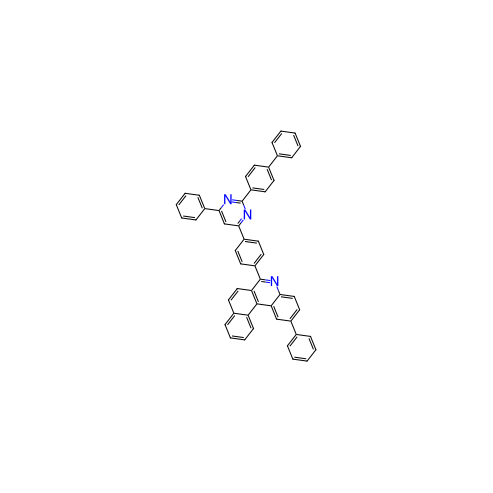 c1ccc(-c2ccc(-c3nc(-c4ccccc4)cc(-c4ccc(-c5nc6ccc(-c7ccccc7)cc6c6c5ccc5ccccc56)cc4)n3)cc2)cc1